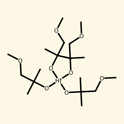 COCC(C)(C)[O][Hf]([O]C(C)(C)COC)([O]C(C)(C)COC)[O]C(C)(C)COC